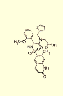 COc1ccccc1[C@@H](NS(=O)(=O)c1cc2ccc(=O)[nH]c2cc1C)C(=O)N(CC(=O)O)Cc1cccs1